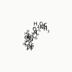 CC(C)NCCC(=O)N1CCCC(N(C2CC2)S(=O)(=O)c2cccc(C(F)(F)F)c2)C1